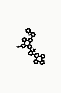 CC(C)(C)c1c(-c2ccc3c(c2)-c2ccccc2-c2ccccc2-c2ccccc2-3)cccc1-c1ccc2c(c1)-c1ccc(C#N)cc1-c1ccccc1-c1cc(-c3cccc4c3oc3ccccc34)ccc1-2